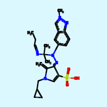 C=C1/C(=N\N(c2ccc3nn(C)cc3c2)C(C)(C)/N=C\CC)C(S(=O)(=O)O)=CN1CC1CC1